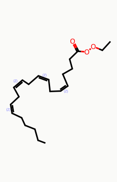 CCCCC/C=C\C/C=C\C/C=C\C/C=C\CCCC(=O)OOCC